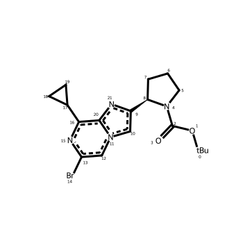 CC(C)(C)OC(=O)N1CCC[C@@H]1c1cn2cc(Br)nc(C3CC3)c2n1